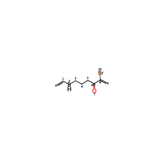 C=CBCCCC(=O)C(=C)Br